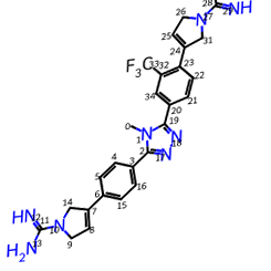 Cn1c(-c2ccc(C3=CCN(C(=N)N)C3)cc2)nnc1-c1ccc(C2=CCN(C(=N)N)C2)c(C(F)(F)F)c1